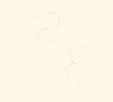 Cc1ccc2c(NS(=O)(=O)c3cccc4cccnc34)cccc2c1